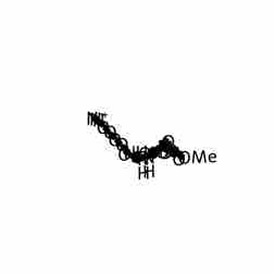 COC(=O)CC1CCN(C(=O)[C@@H]2COCCN2C(=O)Cc2ccc(NC(=O)Nc3ccc(CNC(=O)CCOCCOCCOCCOCCN=[N+]=[N-])cc3)cc2)CC1